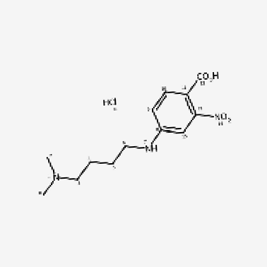 CN(C)CCCCNc1ccc(C(=O)O)c([N+](=O)[O-])c1.Cl